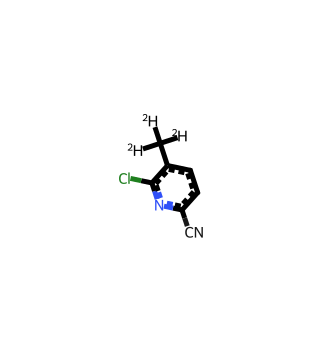 [2H]C([2H])([2H])c1ccc(C#N)nc1Cl